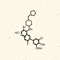 COc1cc(-c2cc3c(NC4CCC(CN5CCCC5)CC4)c(C(C)=O)cnc3cc2F)cc(Cl)c1O.Cl